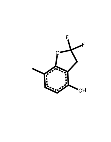 Cc1ccc(O)c2c1OC(F)(F)C2